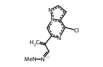 C=C(/C=N\NC)c1cn2nccc2c(Cl)n1